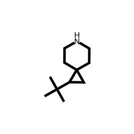 CC(C)(C)C1CC12CCNCC2